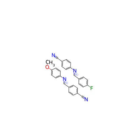 COc1ccc(/N=C/c2ccc(C#N)cc2)cc1.N#Cc1ccc(/N=C/c2ccc(F)cc2)cc1